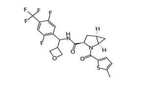 Cc1ccc(C(=O)N2[C@@H](C(=O)NC(c3cc(F)c(C(F)(F)F)cc3F)C3COC3)C[C@H]3C[C@H]32)s1